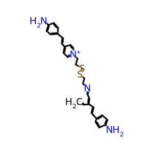 C=CC(/C=C/c1ccc(N)cc1)=C\C=N\CCSSCC[n+]1ccc(/C=C/c2ccc(N)cc2)cc1